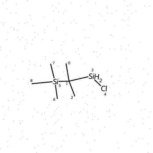 CC(C)([SiH2]Cl)[Si](C)(C)C